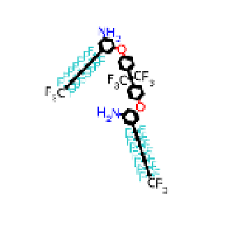 Nc1cc(Oc2ccc(C(c3ccc(Oc4cc(N)cc(C(F)(F)C(F)(F)C(F)(F)C(F)(F)C(F)(F)C(F)(F)C(F)(F)C(F)(F)F)c4)cc3)(C(F)(F)F)C(F)(F)F)cc2)cc(C(F)(F)C(F)(F)C(F)(F)C(F)(F)C(F)(F)C(F)(F)C(F)(F)C(F)(F)F)c1